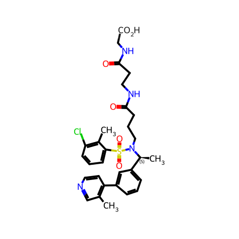 Cc1cnccc1-c1cccc([C@H](C)N(CCCC(=O)NCCC(=O)NCC(=O)O)S(=O)(=O)c2cccc(Cl)c2C)c1